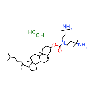 CC(C)CCC[C@@H](C)C1CCC2C3CC=C4CC(OC(=O)N(CCC(C)(C)N)CCC(C)(C)N)CCC4(C)C3CCC21C.Cl.Cl